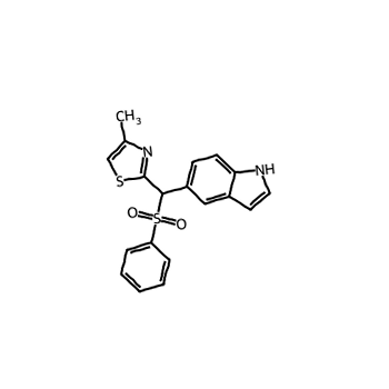 Cc1csc(C(c2ccc3[nH]ccc3c2)S(=O)(=O)c2ccccc2)n1